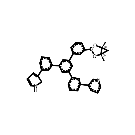 C[C@@]12C[C@]1(C)OB(c1cccc(-c3cc(-c4cccc(C5=CC=CNC5)c4)cc(-c4cccc(-c5cccnc5)c4)c3)c1)O2